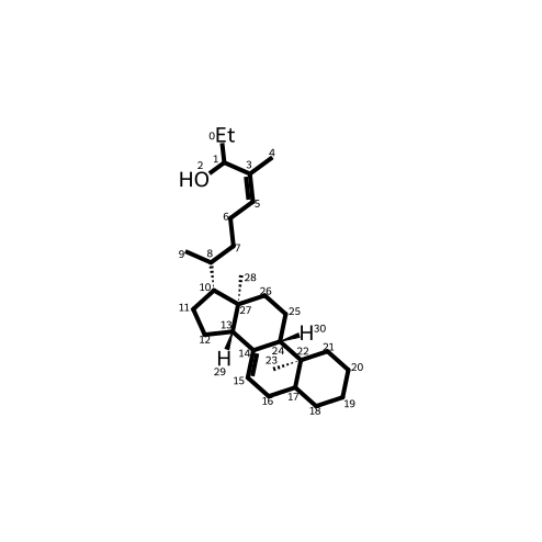 CCC(O)C(C)=CCCC(C)[C@H]1CC[C@H]2C3=CCC4CCCC[C@]4(C)[C@H]3CC[C@]12C